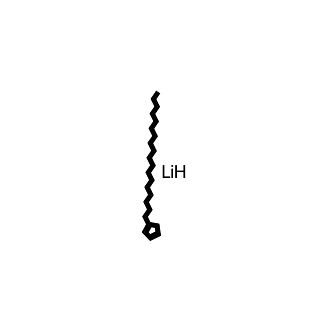 CCCCCCCCCCCCCCCCCCC1=CC=CC1.[LiH]